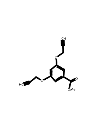 C#CCOc1cc(OCC#C)cc(C(=O)OC)c1